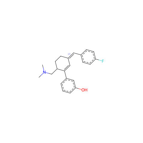 CN(C)CC1CC/C(=C/c2ccc(F)cc2)C=C1c1cccc(O)c1